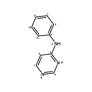 [c]1ccc(Nc2ccncn2)cc1